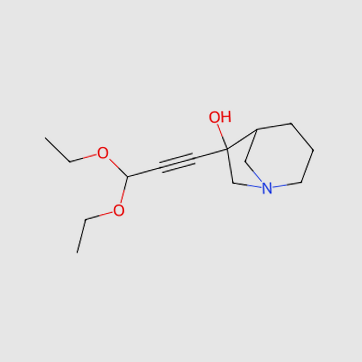 CCOC(C#CC1(O)CN2CCCC1C2)OCC